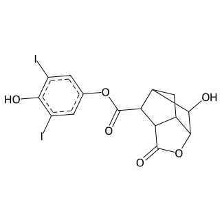 O=C(Oc1cc(I)c(O)c(I)c1)C1C2CC3C(OC(=O)C31)C2O